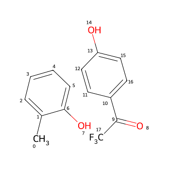 Cc1ccccc1O.O=C(c1ccc(O)cc1)C(F)(F)F